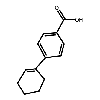 O=C(O)c1ccc(C2=CCCCC2)cc1